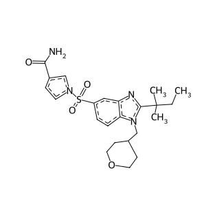 CCC(C)(C)c1nc2cc(S(=O)(=O)n3ccc(C(N)=O)c3)ccc2n1CC1CCOCC1